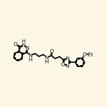 CCOc1cccc(-c2noc(CCC(=O)NCCCNc3n[nH]c(=O)c4ccccc34)n2)c1